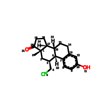 C[C@]12C[C@H](CCl)[C@@H]3c4ccc(O)cc4CC[C@H]3[C@@H]1CCC2=O